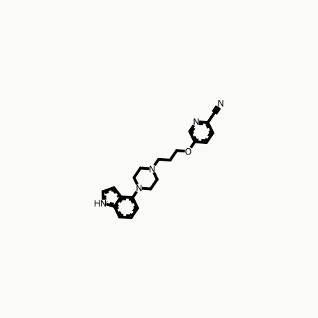 N#Cc1ccc(OCCCN2CCN(c3cccc4[nH]ccc34)CC2)cn1